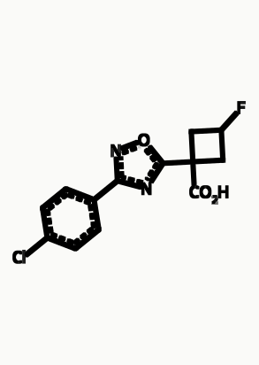 O=C(O)C1(c2nc(-c3ccc(Cl)cc3)no2)CC(F)C1